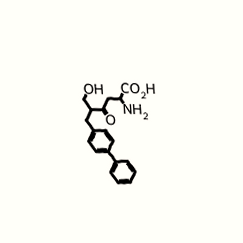 NC(CC(=O)C(CO)Cc1ccc(-c2ccccc2)cc1)C(=O)O